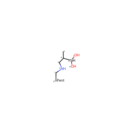 CCCCCCNCC(C)[SiH](O)O